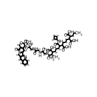 CCCC(C(=O)O)C(CCCC(C(=O)O)C(CCCC(C(=O)O)C(C)C(C)NCC(=O)NCC(=O)NCC(=O)O[C@]1(CC)C(=O)OCc2c1cc1n(c2=O)Cc2cc3ccccc3nc2-1)C(=O)NC1CCC1)C(=O)O